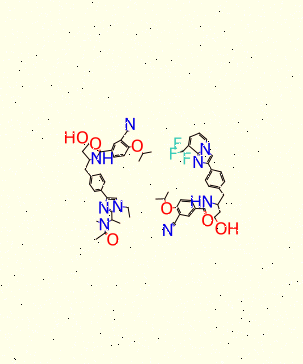 CC(C)Oc1ccc(C(=O)NC(CCO)Cc2ccc(-c3cn4cccc(C(F)(F)F)c4n3)cc2)cc1C#N.CCn1cc(-c2ccc(CC(CCO)NC(=O)c3ccc(OC(C)C)c(C#N)c3)cc2)nc1C(C)N(C)C(C)=O